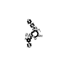 C/C(=C\c1cc(F)cc(N2CCOCC2)c1)[C@H]1OC(=O)C[C@H](O)CC[C@H](C)[C@@H](OC(=O)N2CCN(C3CCOCC3)CC2)/C=C/[C@@H]1C